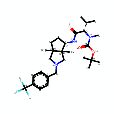 CC(C)[C@@H](C(=O)N[C@@H]1CC[C@H]2CN(Cc3ccc(C(F)(F)F)cc3)C[C@H]21)N(C)C(=O)OC(C)(C)C